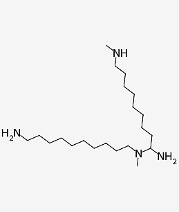 CNCCCCCCCCC(N)N(C)CCCCCCCCCCN